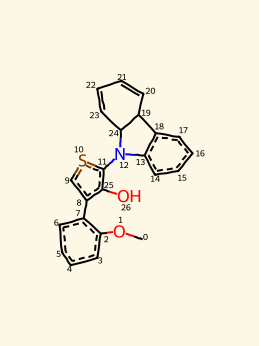 COc1ccccc1-c1csc(N2c3ccccc3C3C=CC=CC32)c1O